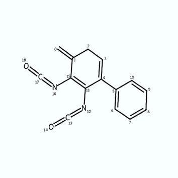 C=C1CC=C(c2ccccc2)C(N=C=O)=C1N=C=O